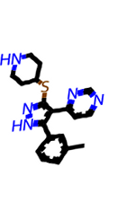 Cc1cccc(-c2[nH]nc(SC3CCNCC3)c2-c2ccncn2)c1